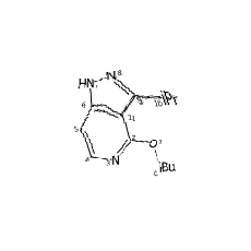 CCC(C)Oc1nccc2[nH]nc(C(C)C)c12